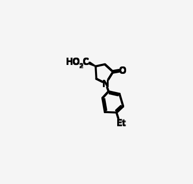 CCc1ccc(N2C[C@@H](C(=O)O)CC2=O)cc1